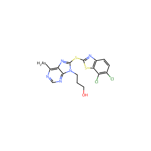 OCCCn1c(Sc2nc3ccc(Cl)c(Cl)c3s2)nc2c([AsH2])ncnc21